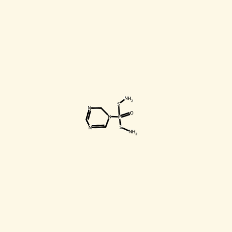 NSP(=O)(SN)N1C=NC=NC1